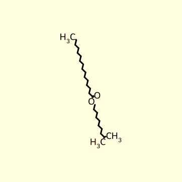 CCCCCCCCCCCCCCCC(=O)OCCCCCCCCC(C)C